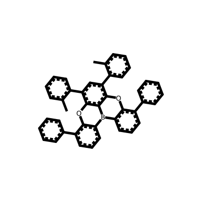 Cc1ccccc1-c1cc(-c2ccccc2C)c2c3c1Oc1c(cccc1-c1ccccc1)B3c1cccc(-c3ccccc3)c1O2